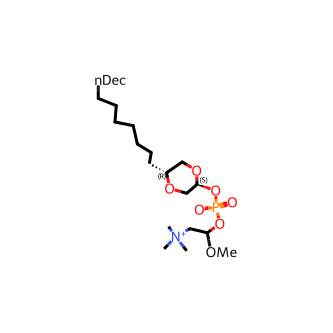 CCCCCCCCCCCCCCCCC[C@@H]1CO[C@@H](OP(=O)([O-])OC(C[N+](C)(C)C)OC)CO1